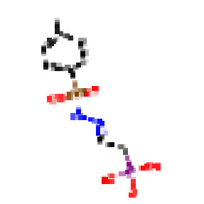 Cc1ccc(S(=O)(=O)N/N=C/CP(=O)(O)O)cc1